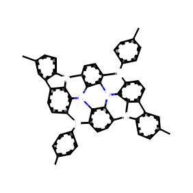 Cc1ccc(B2c3ccc4c5c3N3c6c2ccc2c6N6c7c(ccc8c7B2c2ccc(C)cc2-8)B(c2ccc(C)cc2)c2ccc(c3c26)B5c2ccc(C)cc2-4)cc1